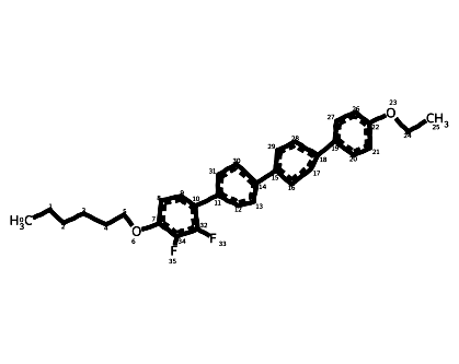 CCCCCCOc1ccc(-c2ccc(-c3ccc(-c4ccc(OCC)cc4)cc3)cc2)c(F)c1F